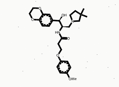 COc1ccc(OCCC(=O)N[C@H](CN2CCC(C)(C)C2)[C@H](O)c2ccc3c(c2)OCCO3)cc1